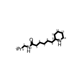 C[C](C)CNC(=O)CCCCCC1CCCCN1